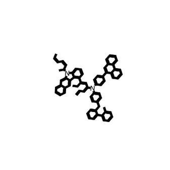 C=C/C=C(\C=C(/CC)c1cccc2c1c1cc3ccccc3cc1n2C(C)/C=C\C=C/C)N(c1ccc(Cc2ccccc2-c2ccccc2C)cc1)c1ccc(-c2cc3ccccc3c3ccccc23)cc1